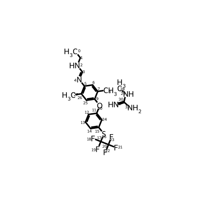 CCNC=Nc1cc(C)c(Oc2cccc(SC(F)(F)C(F)(F)F)c2)cc1C.CNC(=N)N